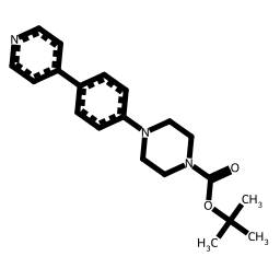 CC(C)(C)OC(=O)N1CCN(c2ccc(-c3ccncc3)cc2)CC1